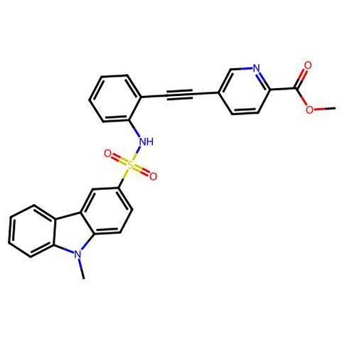 COC(=O)c1ccc(C#Cc2ccccc2NS(=O)(=O)c2ccc3c(c2)c2ccccc2n3C)cn1